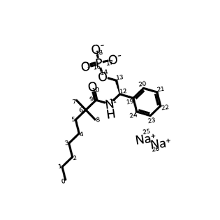 CCCCCCC(C)(C)C(=O)N[C@@H](COP(=O)([O-])[O-])c1ccccc1.[Na+].[Na+]